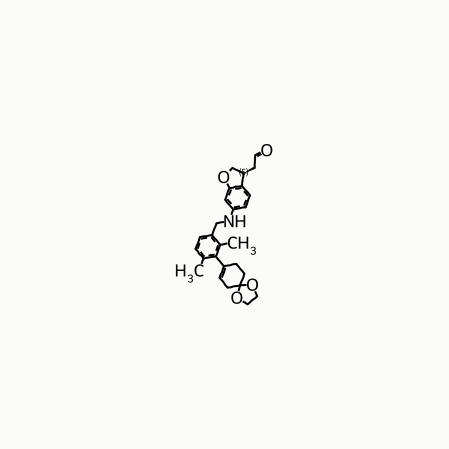 Cc1ccc(CNc2ccc3c(c2)OC[C@H]3CC=O)c(C)c1C1=CCC2(CC1)OCCO2